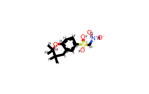 CC1(C)Cc2cc(S(=O)(=O)C[N+](=O)[O-])ccc2OC1(C)C